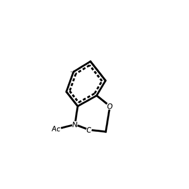 CC(=O)N1CCOc2cc[c]cc21